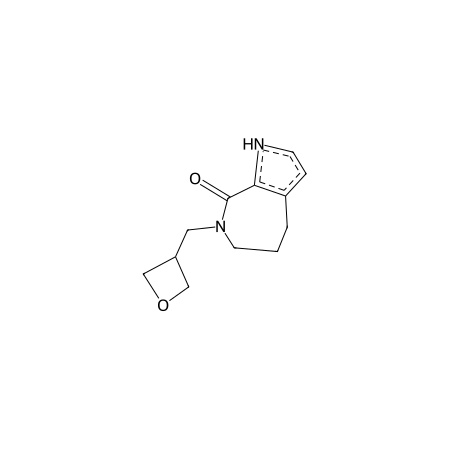 O=C1c2[nH]ccc2CCCN1CC1COC1